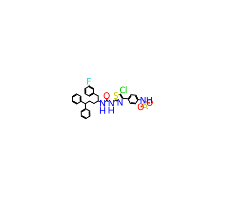 CS(=O)(=O)Nc1ccc(-c2nc(NC(=O)NC(CCC(c3ccccc3)c3ccccc3)Cc3cccc(F)c3)sc2Cl)cc1